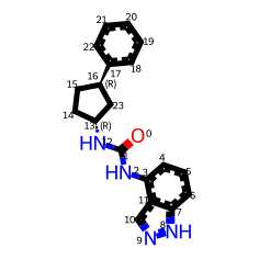 O=C(Nc1cccc2[nH]ncc12)N[C@@H]1CC[C@@H](c2ccccc2)C1